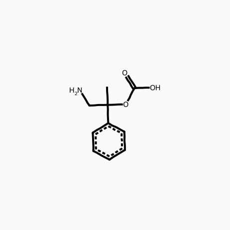 CC(CN)(OC(=O)O)c1ccccc1